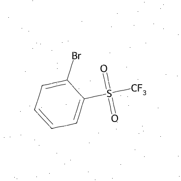 O=S(=O)(c1ccccc1Br)C(F)(F)F